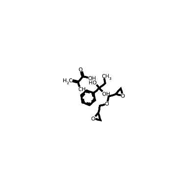 C(OCC1CO1)C1CO1.C=C(C)C(=O)O.CCC(O)(O)c1ccccc1